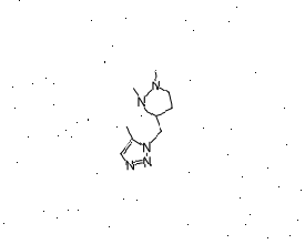 Cc1cnnn1CC1CCN(C)N(C)C1